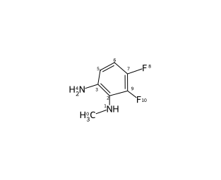 CNc1c(N)ccc(F)c1F